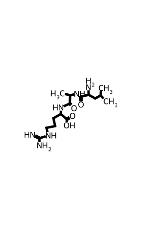 CC(C)CC(N)C(=O)NC(C)C(=O)NC(CCCNC(=N)N)C(=O)O